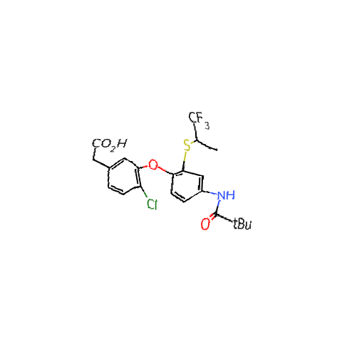 CC(Sc1cc(NC(=O)C(C)(C)C)ccc1Oc1cc(CC(=O)O)ccc1Cl)C(F)(F)F